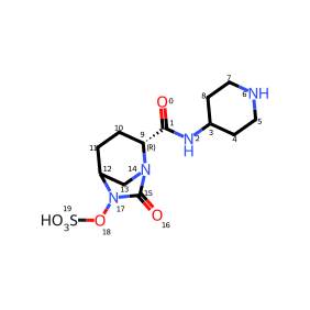 O=C(NC1CCNCC1)[C@H]1CCC2CN1C(=O)N2OS(=O)(=O)O